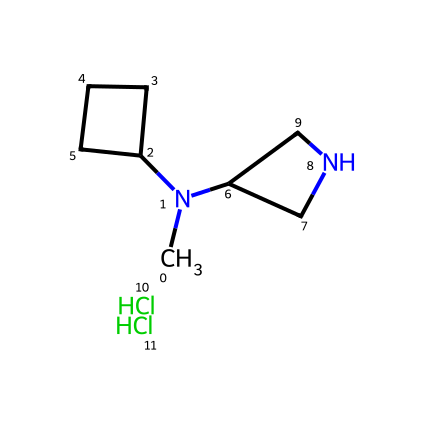 CN(C1CCC1)C1CNC1.Cl.Cl